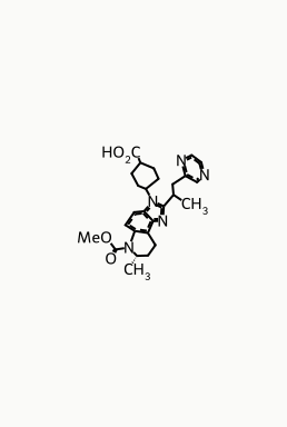 COC(=O)N1c2ccc3c(nc(C(C)Cc4cnccn4)n3C3CCC(C(=O)O)CC3)c2CC[C@@H]1C